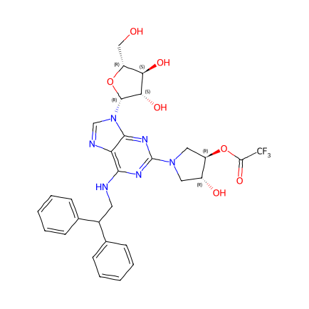 O=C(O[C@@H]1CN(c2nc(NCC(c3ccccc3)c3ccccc3)c3ncn([C@@H]4O[C@H](CO)[C@@H](O)[C@@H]4O)c3n2)C[C@H]1O)C(F)(F)F